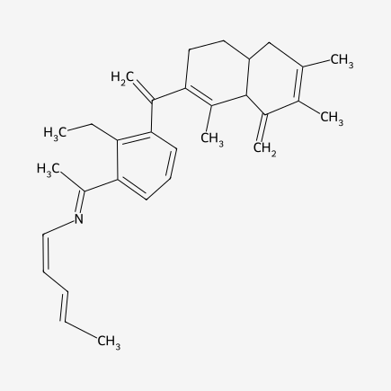 C=C(C1=C(C)C2C(=C)C(C)=C(C)CC2CC1)c1cccc(/C(C)=N/C=C\C=C\C)c1CC